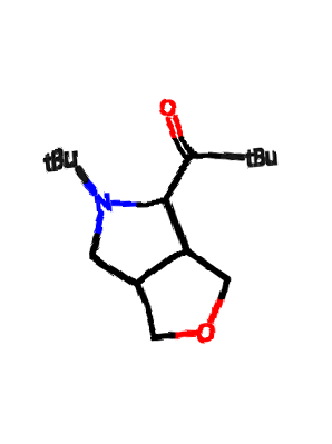 CC(C)(C)C(=O)C1C2COCC2CN1C(C)(C)C